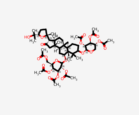 CC(=O)OC[C@H]1OC(O[C@H]2C[C@@H]3[C@]4(CC[C@]5(C)[C@@H]([C@@]6(C)CC[C@@H](C(C)(C)O)O6)C(=O)C[C@@]35C)C[C@@]43CCC(O[C@@H]4OC[C@@H](OC(C)=O)[C@H](OC(C)=O)[C@H]4OC(C)=O)C(C)(C)[C@H]23)[C@H](OC(C)=O)[C@@H](OC(C)=O)[C@@H]1OC(C)=O